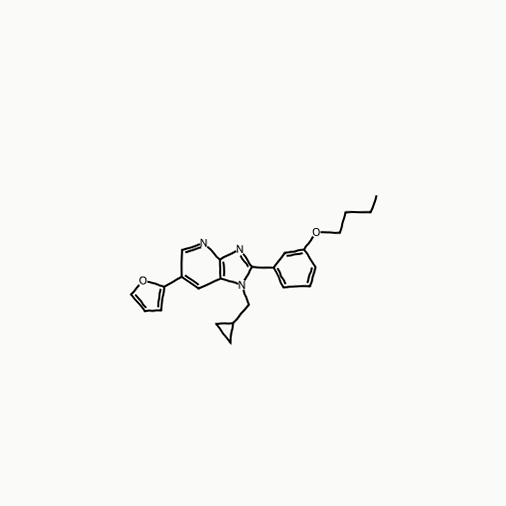 CCCCOc1cccc(-c2nc3ncc(-c4ccco4)cc3n2CC2CC2)c1